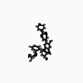 Fc1cc2nc3n(c2cc1-c1cnc(N2CCOCC2)nc1)C(c1ccccc1OC(F)F)CC3F